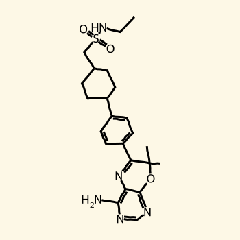 CCNS(=O)(=O)CC1CCC(c2ccc(C3=Nc4c(N)ncnc4OC3(C)C)cc2)CC1